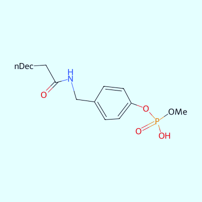 CCCCCCCCCCCC(=O)NCc1ccc(OP(=O)(O)OC)cc1